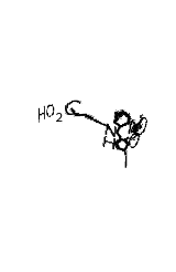 CN1c2ccccc2C(NCCCCC(=O)O)c2ccc(I)cc2S1(=O)=O